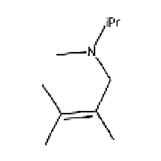 CC(C)=C(C)CN(C)C(C)C